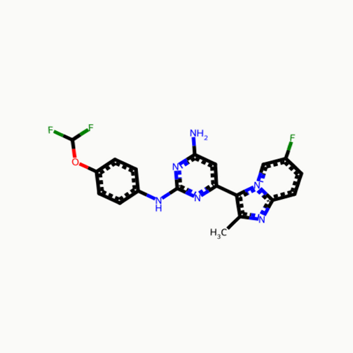 Cc1nc2ccc(F)cn2c1-c1cc(N)nc(Nc2ccc(OC(F)F)cc2)n1